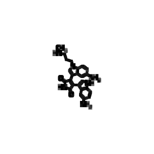 CNCCCn1cc(C2=C(c3c[nH]c4ccc(N)cc34)C(=O)NC2=O)c2cc(N)ccc21